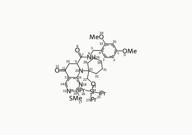 COc1ccc(CNC(=O)C2CC(=O)c3cnc(SC)nc3N2C2(CO[Si](C(C)C)(C(C)C)C(C)C)CCCCC2)c(OC)c1